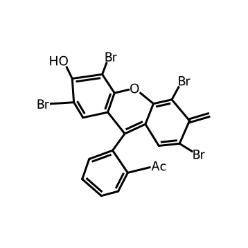 C=c1c(Br)cc2c(c1Br)Oc1c(cc(Br)c(O)c1Br)C=2c1ccccc1C(C)=O